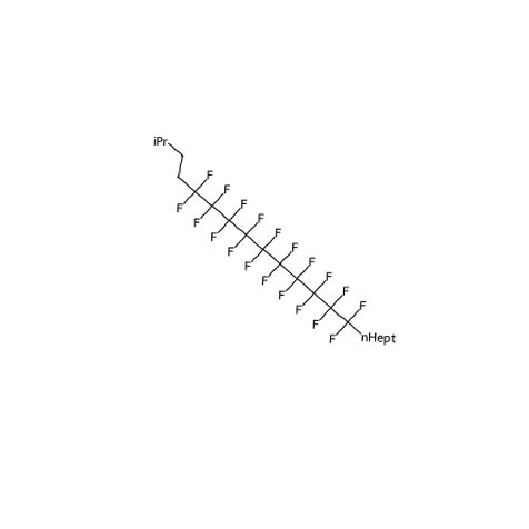 CCCCCCCC(F)(F)C(F)(F)C(F)(F)C(F)(F)C(F)(F)C(F)(F)C(F)(F)C(F)(F)C(F)(F)C(F)(F)CCC(C)C